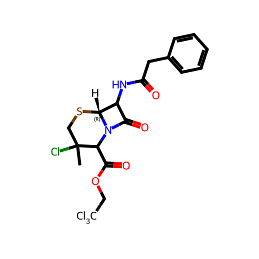 CC1(Cl)CS[C@@H]2C(NC(=O)Cc3ccccc3)C(=O)N2C1C(=O)OCC(Cl)(Cl)Cl